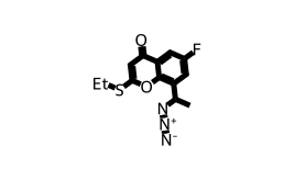 CCSc1cc(=O)c2cc(F)cc(C(C)N=[N+]=[N-])c2o1